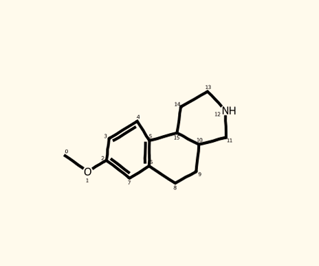 COc1ccc2c(c1)CCC1CNCCC21